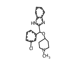 CN1CCC(OC(c2cccc(Cl)c2)c2nc3ccccc3[nH]2)CC1